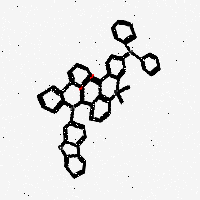 C[Si]1(C)c2cc(N(c3ccccc3)c3ccccc3)ccc2-c2ccc(N(c3ccc4c(c3)oc3ccccc34)c3ccccc3-c3ccccc3)c3cccc1c23